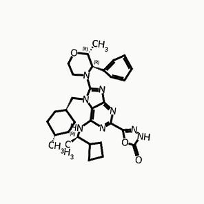 C[C@@H](Nc1nc(-c2n[nH]c(=O)o2)nc2nc(N3CCO[C@H](C)[C@H]3c3ccccc3)n(C[C@H]3CC[C@H](C)CC3)c12)C1CCC1